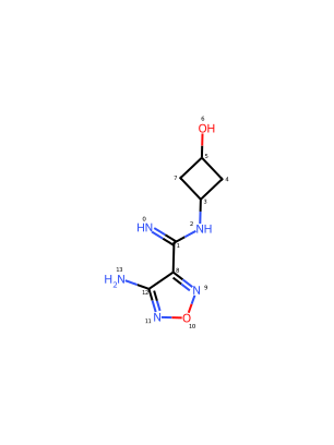 N=C(NC1CC(O)C1)c1nonc1N